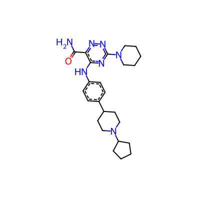 NC(=O)c1nnc(N2CCCCC2)nc1Nc1ccc(C2CCN(C3CCCC3)CC2)cc1